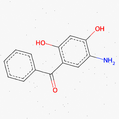 Nc1cc(C(=O)c2ccccc2)c(O)cc1O